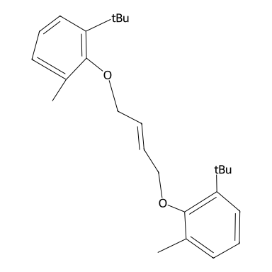 Cc1cccc(C(C)(C)C)c1OCC=CCOc1c(C)cccc1C(C)(C)C